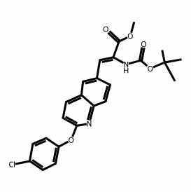 COC(=O)C(=Cc1ccc2nc(Oc3ccc(Cl)cc3)ccc2c1)NC(=O)OC(C)(C)C